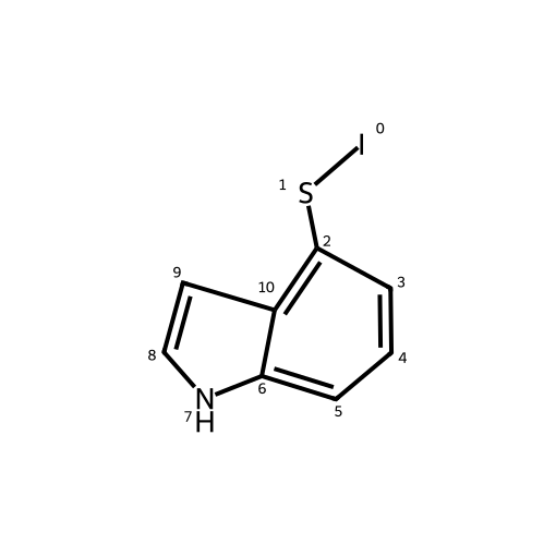 ISc1cccc2[nH]ccc12